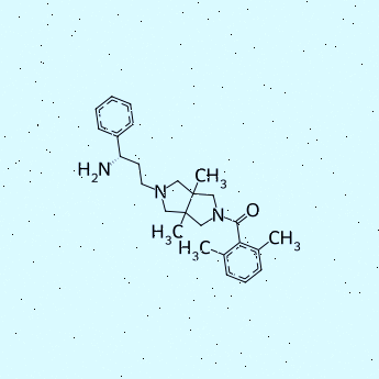 Cc1cccc(C)c1C(=O)N1CC2(C)CN(CC[C@H](N)c3ccccc3)CC2(C)C1